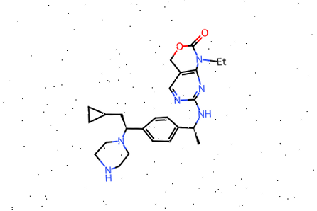 CCN1C(=O)OCc2cnc(N[C@@H](C)c3ccc([C@H](CC4CC4)N4CCNCC4)cc3)nc21